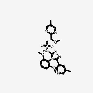 COc1cccc(OC)c1-n1c(NS(=O)(=O)C[C@@H](OC)c2ncc(C)cn2)nnc1-c1cncc(C)c1